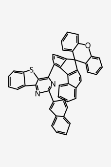 c1ccc2c(c1)Oc1ccccc1C21c2cccc(-c3nc(-c4ccc5ccccc5c4)nc4c3sc3ccccc34)c2-c2c1ccc1ccccc21